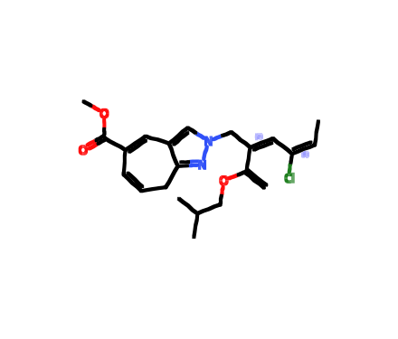 C=C(OCC(C)C)/C(=C\C(Cl)=C/C)Cn1cc2c(n1)CC=CC(C(=O)OC)=C2